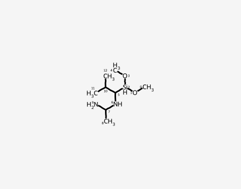 CO[SiH](OC)C(NC(C)N)C(C)C